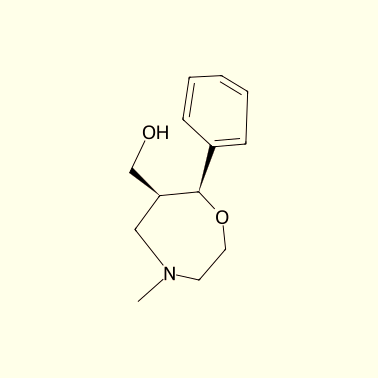 CN1CCO[C@H](c2ccccc2)[C@H](CO)C1